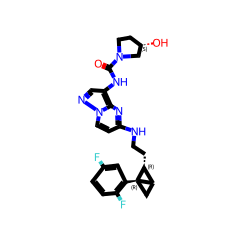 O=C(Nc1cnn2ccc(NCC[C@@H]3C4C[C@@]43c3cc(F)ccc3F)nc12)N1CC[C@H](O)C1